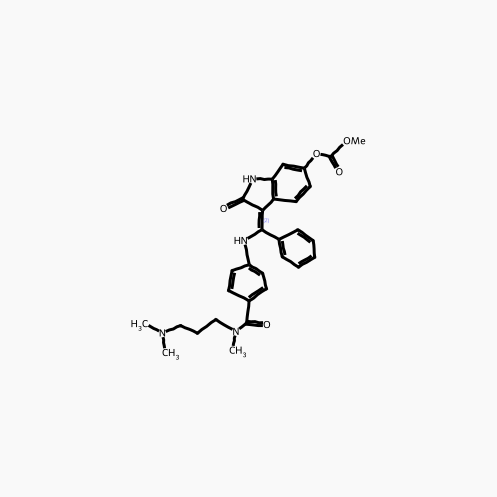 COC(=O)Oc1ccc2c(c1)NC(=O)/C2=C(\Nc1ccc(C(=O)N(C)CCCN(C)C)cc1)c1ccccc1